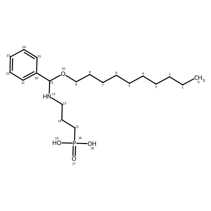 CCCCCCCCCCOC(NCCCP(=O)(O)O)c1ccccc1